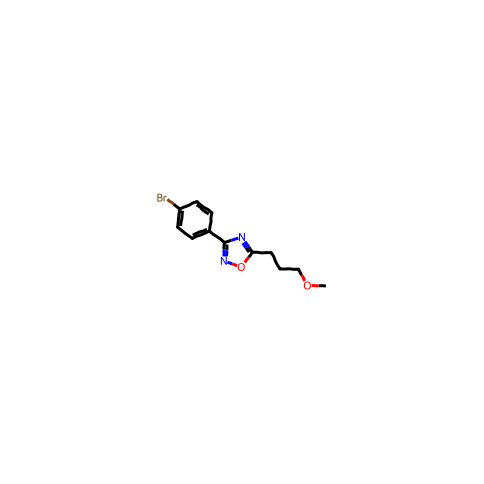 COCCCc1nc(-c2ccc(Br)cc2)no1